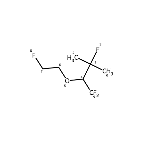 CC(C)(F)C(OCCF)C(F)(F)F